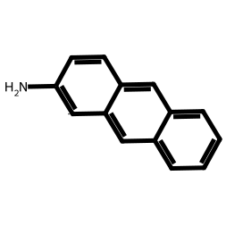 Nc1[c]c2cc3ccccc3cc2cc1